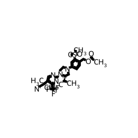 CC(=O)OCc1ccc(N2CCN(c3ncc(C(C)(C)C#N)c(C(F)(F)F)n3)[C@H](C(C)C)C2)cc1S(C)(=O)=O